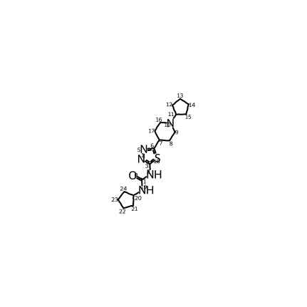 O=C(Nc1nnc(C2CCN(C3CCCC3)CC2)s1)NC1CCCC1